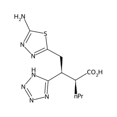 CCC[C@H](C(=O)O)[C@H](Cc1nnc(N)s1)c1nnn[nH]1